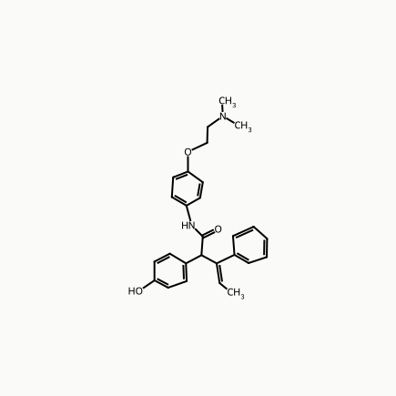 C/C=C(\c1ccccc1)C(C(=O)Nc1ccc(OCCN(C)C)cc1)c1ccc(O)cc1